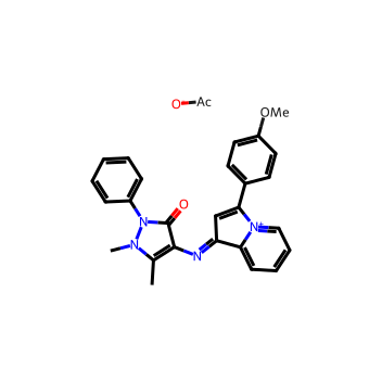 CC(=O)[O-].COc1ccc(C2=C/C(=N\c3c(C)n(C)n(-c4ccccc4)c3=O)c3cccc[n+]32)cc1